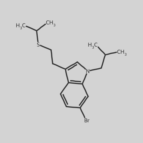 CC(C)Cn1cc(CCSC(C)C)c2ccc(Br)cc21